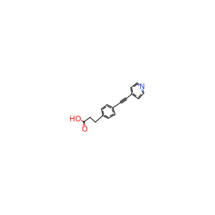 O=C(O)CCc1ccc(C#Cc2ccncc2)cc1